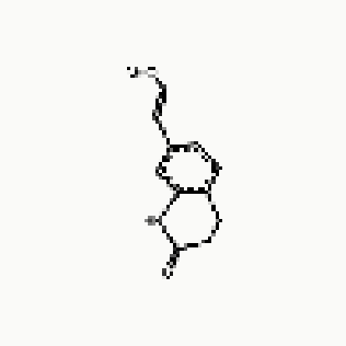 CO/C=C/c1ccc2c(c1)NC(=O)CC2